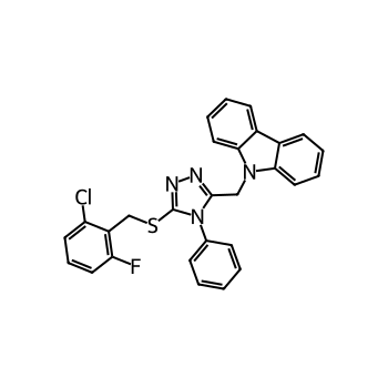 Fc1cccc(Cl)c1CSc1nnc(Cn2c3ccccc3c3ccccc32)n1-c1ccccc1